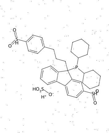 O=S(=O)([O-])O.O=[SH](=O)c1ccc(CCCC2(P(C3CCCCC3)C3CCCCC3)c3ccccc3-c3ccc([SH](=O)=O)cc32)cc1.[H+]